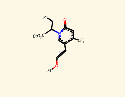 CCO/C=C/c1cn(C(CC(C)C)C(=O)OCC)c(=O)cc1C(F)(F)F